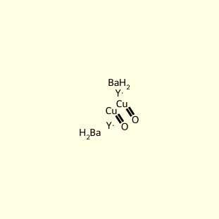 [BaH2].[BaH2].[O]=[Cu].[O]=[Cu].[Y].[Y]